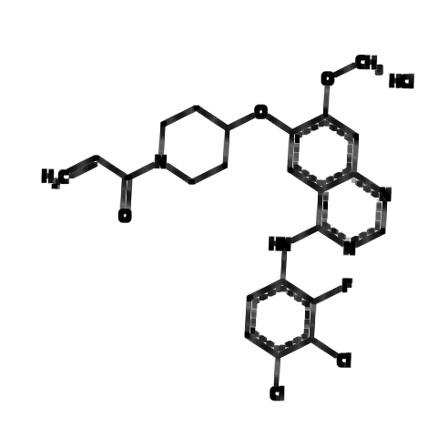 C=CC(=O)N1CCC(Oc2cc3c(Nc4ccc(Cl)c(Cl)c4F)ncnc3cc2OC)CC1.Cl